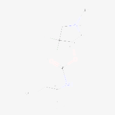 COC[C@@H](C)NC(=O)O[C@H]1CN(C(C)C)CC1(F)F